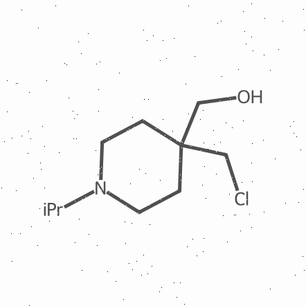 CC(C)N1CCC(CO)(CCl)CC1